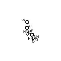 CN(C)c1cccc(-c2ccc(NS(=O)(=O)c3cc4[nH]c(=O)c(=O)[nH]c4cc3F)cc2Cl)c1